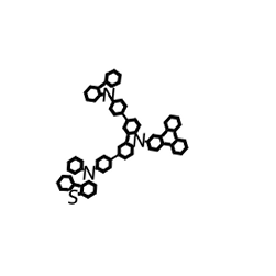 c1ccc(N(c2ccc(-c3ccc4c(c3)c3cc(-c5ccc(-n6c7ccccc7c7ccccc76)cc5)ccc3n4-c3ccc4c5ccccc5c5ccccc5c4c3)cc2)c2cccc3sc4ccccc4c23)cc1